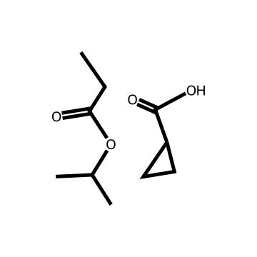 CCC(=O)OC(C)C.O=C(O)C1CC1